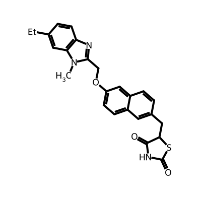 CCc1ccc2nc(COc3ccc4cc(CC5SC(=O)NC5=O)ccc4c3)n(C)c2c1